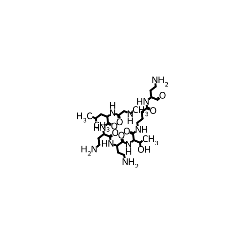 CNCC(=O)NC(CC(C)C)C(=O)NC(CCN)C(=O)NC(CCN)C(=O)NC(C(=O)NCCCC(=O)NC(C=O)CCN)C(C)O